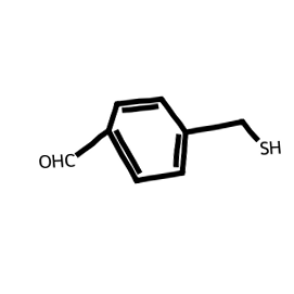 O=Cc1ccc(CS)cc1